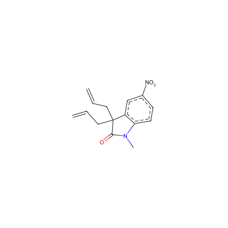 C=CCC1(CC=C)C(=O)N(C)c2ccc([N+](=O)[O-])cc21